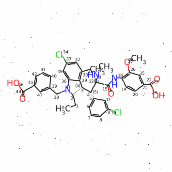 CCC1[C@@H]([C@@H](c2cccc(Cl)c2)[C@@H](NC)C(=O)Nc2ccc(C(=O)O)cc2OC)c2c(C)cc(Cl)cc2N1Cc1cccc(C(=O)O)c1